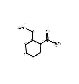 CNC(=O)C1CCCCC1CNC(C)=O